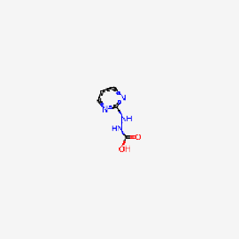 O=C(O)NNc1ncccn1